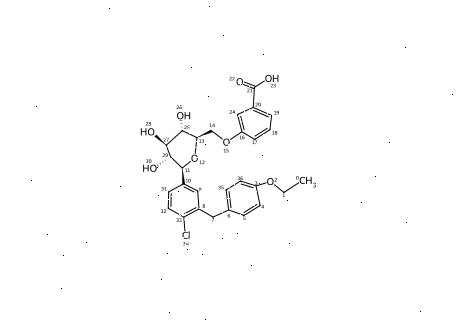 CCOc1ccc(Cc2cc([C@@H]3O[C@H](COc4cccc(C(=O)O)c4)[C@@H](O)[C@H](O)[C@H]3O)ccc2Cl)cc1